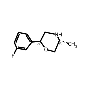 C[C@@H]1CO[C@@H](c2cccc(F)c2)CN1